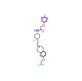 Cc1ncc(OCC(=O)N[C@H]2CC[C@](F)(CCN3CCc4ccc(OCC(F)F)nc4CC3)CC2)cn1